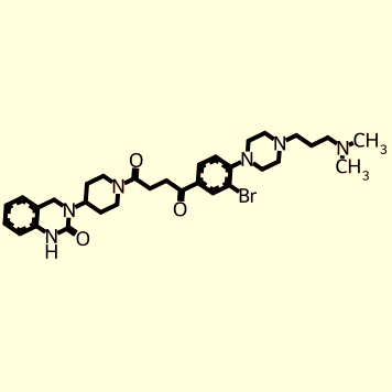 CN(C)CCCN1CCN(c2ccc(C(=O)CCC(=O)N3CCC(N4Cc5ccccc5NC4=O)CC3)cc2Br)CC1